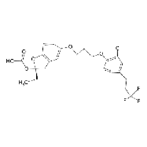 CC[C@]1(OC(=O)O)Cc2cc(OCCCOc3ccc(CCC(F)(F)F)cc3Cl)ccc2O1